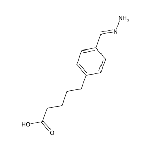 NN=Cc1ccc(CCCCC(=O)O)cc1